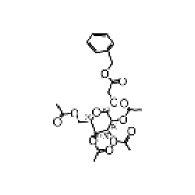 CC(=O)OC[C@H]1O[C@H](OCC(=O)OCc2ccccc2)[C@@H](OC(C)=O)[C@@H](OC(C)=O)[C@@H]1OC(C)=O